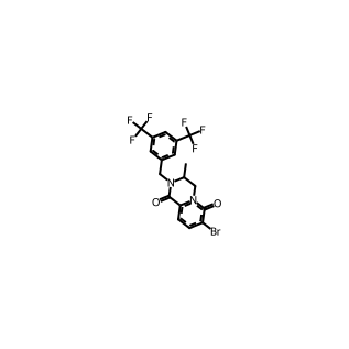 CC1Cn2c(ccc(Br)c2=O)C(=O)N1Cc1cc(C(F)(F)F)cc(C(F)(F)F)c1